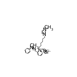 CN(/N=C/c1cccc[n+]1CCCCCCn1cc[n+](C)c1)c1ccccc1.[Br-].[Br-]